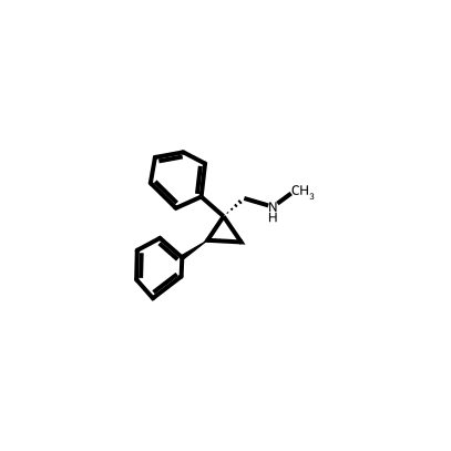 CNC[C@]1(c2ccccc2)C[C@H]1c1ccccc1